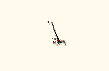 CCCCCCCCCCCCCCCCOC[C@@H](O)CO[Si](C)(C)C(C)(C)C